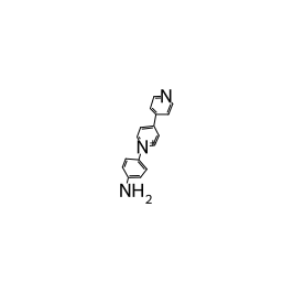 Nc1ccc(-[n+]2ccc(-c3ccncc3)cc2)cc1